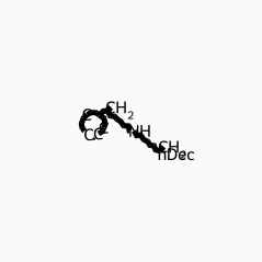 C=C(CCCCCCCCCC)CCCCCCCNCCCCCCCC(=C)CC1CCCCCCCCCCCCCC1